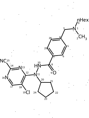 CCCCCCN(C)Cc1ccc(C(=O)NN(c2nc(C#N)ncc2Cl)C2CCCC2)cc1